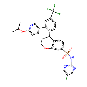 CC(C)Oc1ccc(-c2cc(C(F)(F)F)ccc2C2CCOc3cc(S(=O)(=O)Nc4ncc(F)cn4)ccc32)cn1